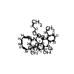 C=CCOC(=O)N1c2c(cc(O)c3c2C(=O)c2c(CC)cccc2C3=O)[C@@]23O[C@@]2(C(C)C)[C@@H]1C#C/C=C\C#C[C@H]3O